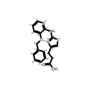 O=C(O)CCc1csc(Nc2ncccc2OCc2ccccc2)n1